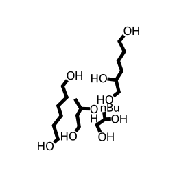 CC(O)CCO.CCCCC(O)CO.OCCCCC(O)CO.OCCCCCCO